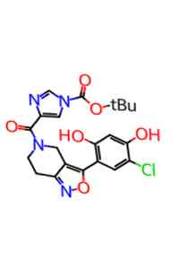 CC(C)(C)OC(=O)n1cnc(C(=O)N2CCc3noc(-c4cc(Cl)c(O)cc4O)c3C2)c1